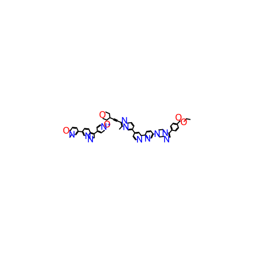 CCOC(=O)c1ccc(-c2cnc3n2CCN(c2ccc(-c4cc(-c5ccc6nc(C#CC7CCOCC7O[n+]7ccc(-c8cnn9cc(-c%10ccc(=O)n(C)c%10)ccc89)cc7)c(C)n6c5)ccn4)nc2)C3)cc1